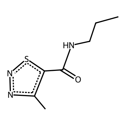 CCCNC(=O)c1snnc1C